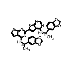 C[C@H](Nc1ncnc2sc(-c3nc(N[C@H](C)c4ccc5c(c4)OCO5)c4ccsc4n3)cc12)c1ccc2c(c1)OCO2